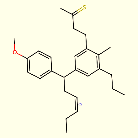 CC/C=C\CC(c1ccc(OC)cc1)c1cc(CCC)c(C)c(CCC(C)=S)c1